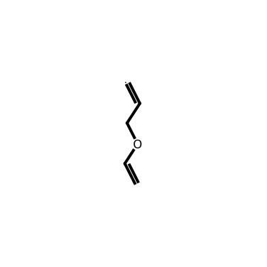 [CH]=CCOC=C